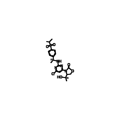 CC(C)S(=O)(=O)c1ccc([C@H](C)Nc2nc(Cl)cc(N3C(=O)OCC3[C@@H](C)O)n2)cc1